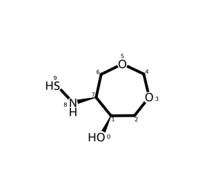 O[C@@H]1COCOC[C@@H]1NS